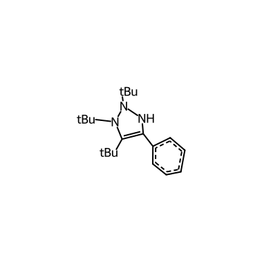 CC(C)(C)C1=C(c2ccccc2)NN(C(C)(C)C)N1C(C)(C)C